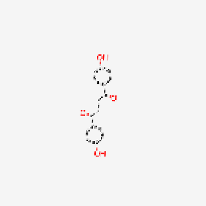 O=C(CCC(=O)c1ccc(O)cc1)c1ccc(O)cc1